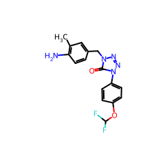 Cc1cc(Cn2nnn(-c3ccc(OC(F)F)cc3)c2=O)ccc1N